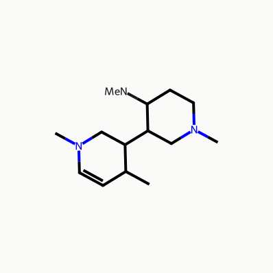 CNC1CCN(C)CC1C1CN(C)C=CC1C